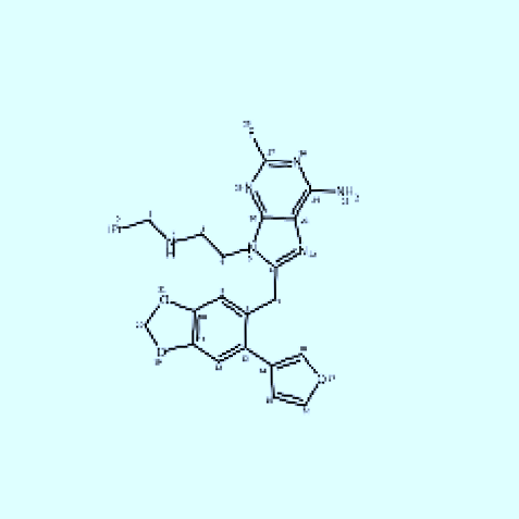 CC(C)CNCCn1c(Cc2cc3c(cc2-c2ccoc2)OCO3)nc2c(N)nc(F)nc21